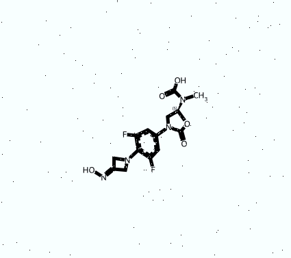 CN(C(=O)O)[C@@H]1CN(c2cc(F)c(N3CC(=NO)C3)c(F)c2)C(=O)O1